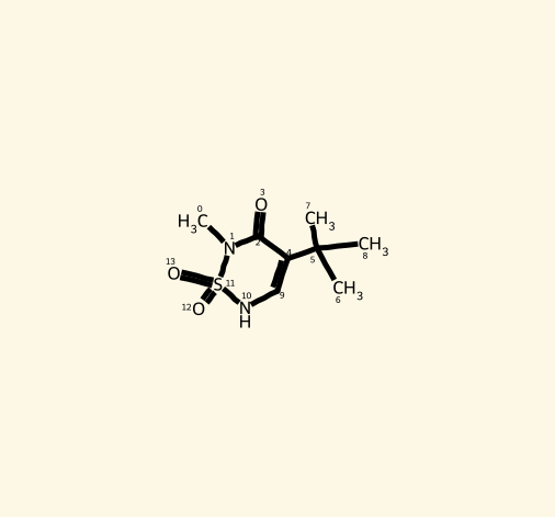 CN1C(=O)C(C(C)(C)C)=CNS1(=O)=O